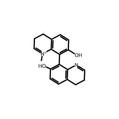 C[N+]1=CCCc2ccc(O)c(-c3c(O)ccc4c3N=CCC4)c21